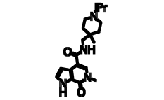 CC(C)N1CCC(C)(CNC(=O)c2cn(C)c(=O)c3[nH]ccc23)CC1